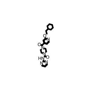 O=C(Nc1ncccn1)N1CCN(C(=O)c2ccnc(OCCC3CCCCC3)c2)CC1